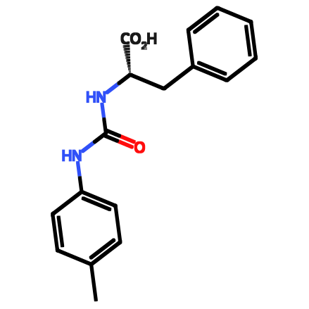 Cc1ccc(NC(=O)N[C@@H](Cc2ccccc2)C(=O)O)cc1